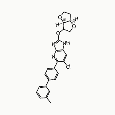 Cc1cccc(-c2ccc(-c3nc4nc(OC5CO[C@@H]6CCO[C@H]56)[nH]c4cc3Cl)cc2)c1